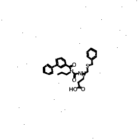 CCCN(C(=O)N[C@H](CCC(=O)O)CSCc1ccccc1)C(=O)c1cccc(-c2ccccc2)c1